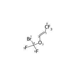 FC(F)(F)C=COC(F)(F)Br